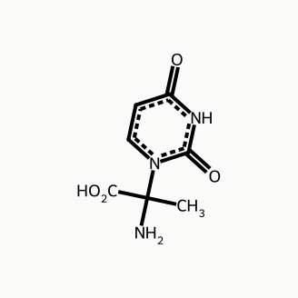 CC(N)(C(=O)O)n1ccc(=O)[nH]c1=O